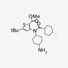 COC(=O)c1sc(C(C)(C)C)cc1N(C(=O)[C@H]1CC[C@H](C)CC1)C1CCC(N)CC1